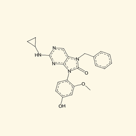 COc1cc(O)ccc1-n1c(=O)n(Cc2ccccc2)c2cnc(NC3CC3)nc21